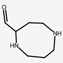 O=CC1CCNCCCN1